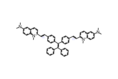 CN(C)c1ccc2c(ccc(/C=C/c3ccc(C(=C(c4ccccc4)c4ccccc4)c4ccc(/C=C/c5ccc6cc(N(C)C)ccc6[n+]5C)cc4)cc3)[n+]2C)c1